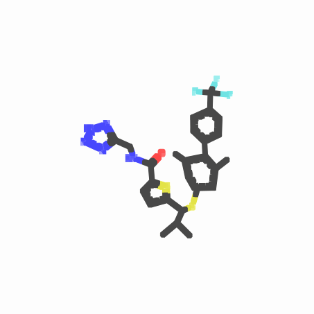 Cc1cc(SC(c2ccc(C(=O)NCc3nn[nH]n3)s2)C(C)C)cc(C)c1-c1ccc(C(F)(F)F)cc1